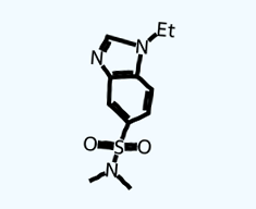 CCn1cnc2cc(S(=O)(=O)N(C)C)ccc21